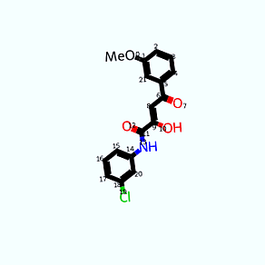 COc1cccc(C(=O)/C=C(\O)C(=O)Nc2cccc(Cl)c2)c1